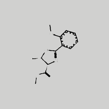 COC(=O)[C@@H]1N=C(c2ccccc2OC)O[C@@H]1C